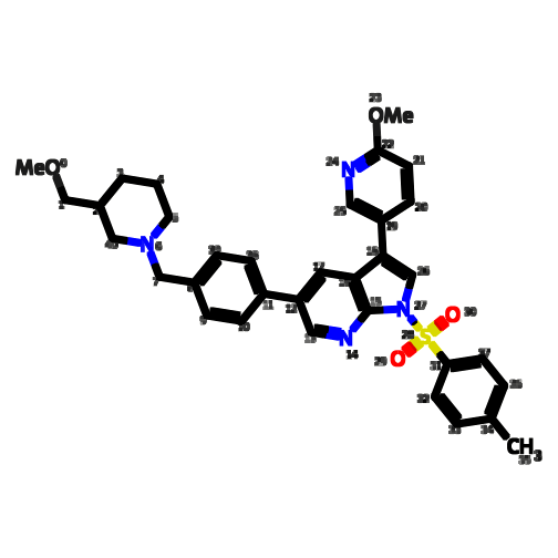 COCC1CCCN(Cc2ccc(-c3cnc4c(c3)c(-c3ccc(OC)nc3)cn4S(=O)(=O)c3ccc(C)cc3)cc2)C1